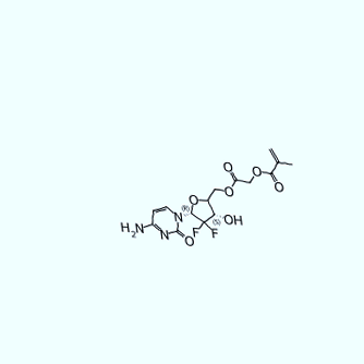 C=C(C)C(=O)OCC(=O)OCC1O[C@@H](n2ccc(N)nc2=O)C(F)(F)[C@H]1O